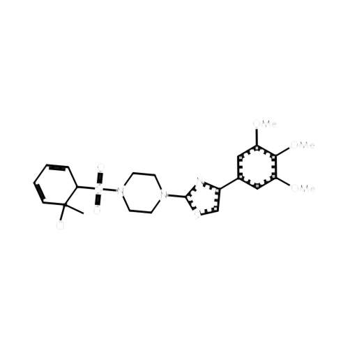 COc1cc(-c2csc(N3CCN(S(=O)(=O)C4C=CC=CC4(C)Cl)CC3)n2)cc(OC)c1OC